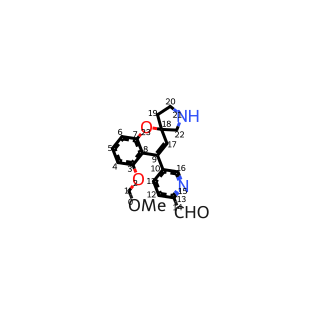 COCOc1cccc2c1C(c1ccc(C=O)nc1)=CC1(CCNC1)O2